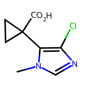 Cn1cnc(Cl)c1C1(C(=O)O)CC1